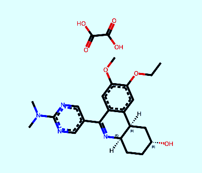 CCOc1cc2c(cc1OC)C(c1cnc(N(C)C)nc1)=N[C@@H]1CC[C@@H](O)C[C@H]21.O=C(O)C(=O)O